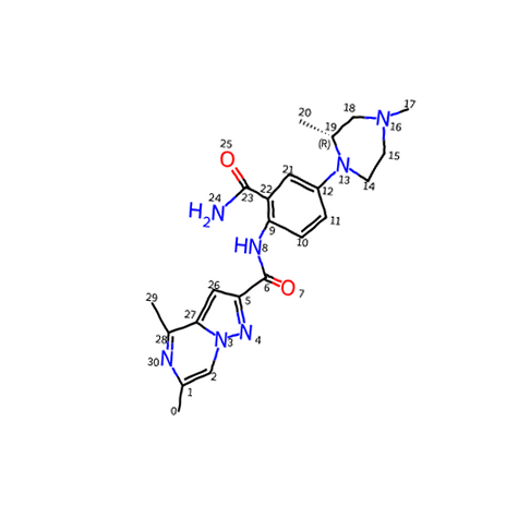 Cc1cn2nc(C(=O)Nc3ccc(N4CCN(C)C[C@H]4C)cc3C(N)=O)cc2c(C)n1